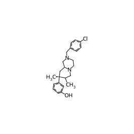 CC1CN2CCN(Cc3ccc(Cl)cc3)CC2C[C@@]1(C)c1cccc(O)c1